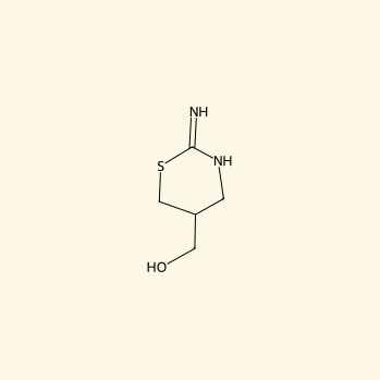 N=C1NCC(CO)CS1